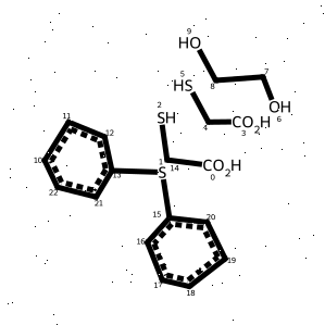 O=C(O)CS.O=C(O)CS.OCCO.c1ccc(Sc2ccccc2)cc1